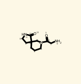 NCC(=O)N1CCCC2(CCNC2=O)C1